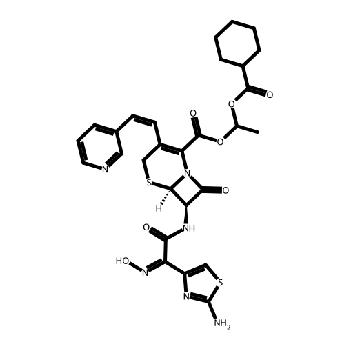 CC(OC(=O)C1=C(/C=C\c2cccnc2)CS[C@@H]2[C@H](NC(=O)/C(=N\O)c3csc(N)n3)C(=O)N12)OC(=O)C1CCCCC1